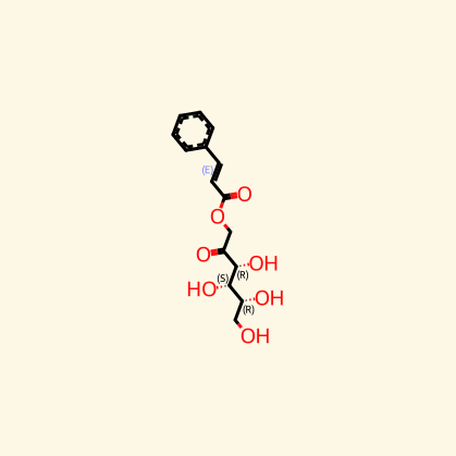 O=C(/C=C/c1ccccc1)OCC(=O)[C@H](O)[C@@H](O)[C@H](O)CO